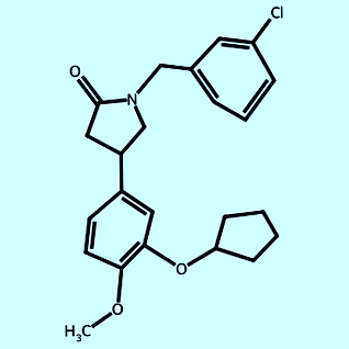 COc1ccc(C2CC(=O)N(Cc3cccc(Cl)c3)C2)cc1OC1CCCC1